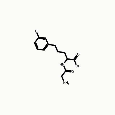 NCC(=O)NC(CCCc1cccc(F)c1)C(=O)O